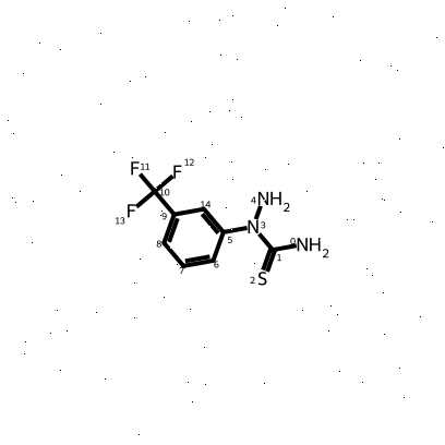 NC(=S)N(N)c1cccc(C(F)(F)F)c1